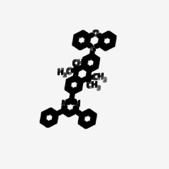 CC1(C)c2ccc(N3c4ccccc4Oc4ccccc43)cc2C(C)(C)c2ccc(-c3nc(-c4ccccc4)cc(-c4ccccc4)n3)cc21